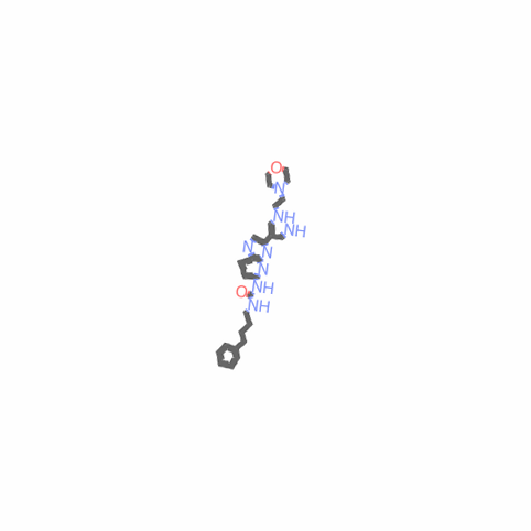 N=C/C(=C\NCCN1CCOCC1)c1cnc2ccc(NC(=O)NCCCCc3ccccc3)nc2n1